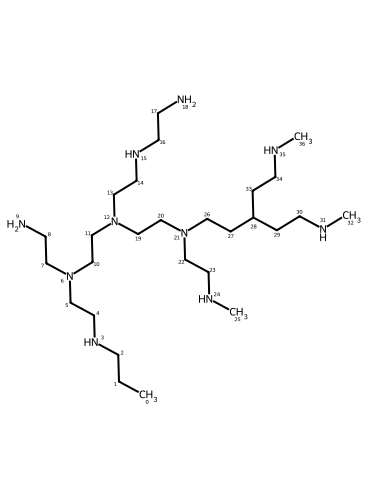 CCCNCCN(CCN)CCN(CCNCCN)CCN(CCNC)CCC(CCNC)CCNC